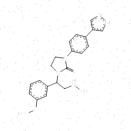 CNCC(c1cccc(OC)c1)N1CCN(c2ccc(-c3cn[nH]c3)cc2)C1=O